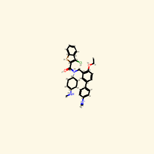 [C-]#[N+]c1ccc(-c2ccc(OCC)c(CN(C(=O)c3sc4ccccc4c3Cl)[C@H]3CC[C@H](NC)CC3)c2)cc1